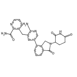 NC(=O)c1ncccc1Cc1cc(-c2cccc3c2CN(C2CCC(=O)NC2=O)C3=O)cnc1N